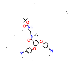 CC(C)(C)OC(=O)NCCCN(C(=O)c1cc(Oc2ccc(C#N)cc2)cc(Oc2ccc(C#N)cc2)c1)C1CC1